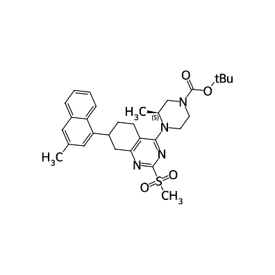 Cc1cc(C2CCc3c(nc(S(C)(=O)=O)nc3N3CCN(C(=O)OC(C)(C)C)C[C@@H]3C)C2)c2ccccc2c1